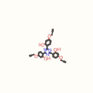 C#CCOc1ccc(-c2nc(-c3ccc(OCC#C)cc3O)nc(-c3ccc(OCC#C)cc3O)n2)c(O)c1